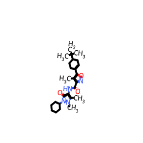 Cc1c(C(=O)Nc2c(C)n(C)n(C3CCCCC3)c2=O)noc1C1=CCC(C(C)(C)C)CC1